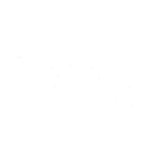 COCCCn1ccn2cc(C(=O)NCc3ccc(F)cc3F)c(=O)c(O)c2c1=O